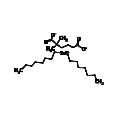 CC(C)(CCCC(=O)[O-])C(=O)[O-].CCCCCCC[CH2][Sn+2][CH2]CCCCCCC